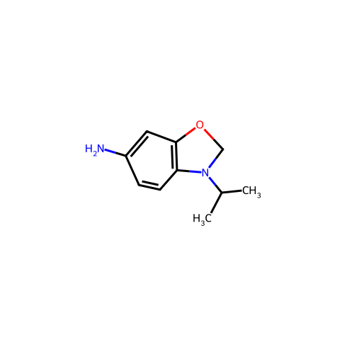 CC(C)N1COc2cc(N)ccc21